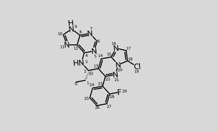 CC[C@H](Nc1ncnc2[nH]cnc12)c1cc2ncc(Cl)n2nc1-c1ccccc1F